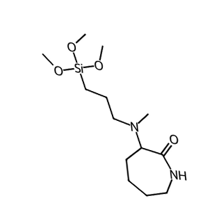 CO[Si](CCCN(C)C1CCCCNC1=O)(OC)OC